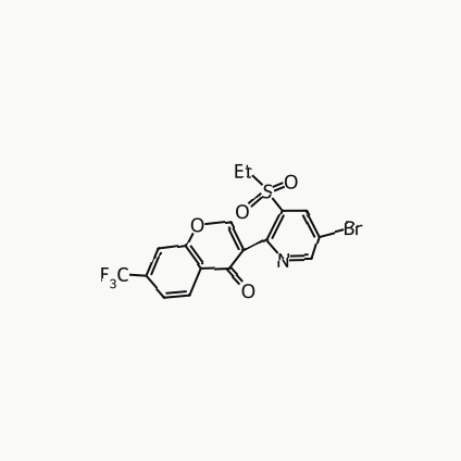 CCS(=O)(=O)c1cc(Br)cnc1-c1coc2cc(C(F)(F)F)ccc2c1=O